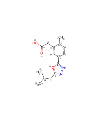 Cc1ccc(-c2nnc(CC(C)C)o2)cc1CC(=O)O